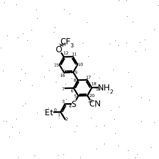 CC/C(C)=C/Sc1c(C)c(-c2ccc(OC(F)(F)F)cc2)cc(N)c1C#N